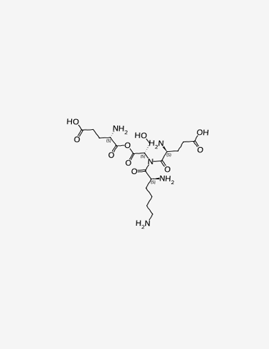 NCCCC[C@H](N)C(=O)N(C(=O)[C@@H](N)CCC(=O)O)[C@@H](CO)C(=O)OC(=O)[C@@H](N)CCC(=O)O